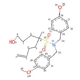 C=CCCC(C)(CCCO)S(=O)(=O)N(Cc1ccc(OC)cc1)Cc1ccc(OC)cc1